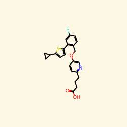 O=C(O)CCCc1ccc(OCc2ccc(F)cc2-c2ccc(C3CC3)s2)cn1